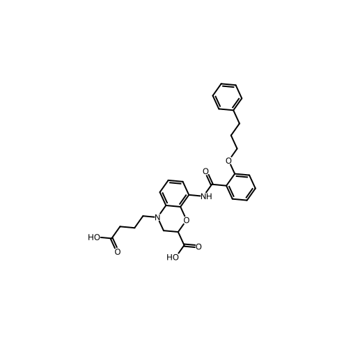 O=C(O)CCCN1CC(C(=O)O)Oc2c(NC(=O)c3ccccc3OCCCc3ccccc3)cccc21